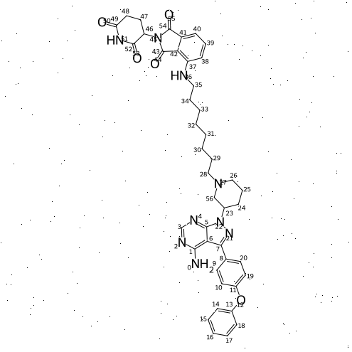 Nc1ncnc2c1c(-c1ccc(Oc3ccccc3)cc1)nn2C1CCCN(CCCCCCCCNc2cccc3c2C(=O)N(C2CCC(=O)NC2=O)C3=O)C1